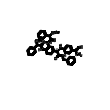 COC(C(=O)Nc1ccc([C@H](Nc2ccc(C(=N)N)cc2)C(=O)NCc2ccccc2)cc1NC(=O)C(OC)c1ccccc1)c1ccccc1